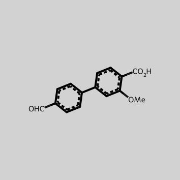 COc1cc(-c2ccc(C=O)cc2)ccc1C(=O)O